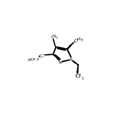 Cc1c(C(=O)O)nn(CC(F)(F)F)c1C